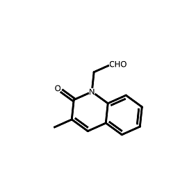 Cc1cc2ccccc2n(CC=O)c1=O